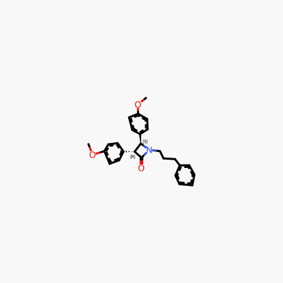 COc1ccc([C@H]2C(=O)N(CCCc3ccccc3)[C@@H]2c2ccc(OC)cc2)cc1